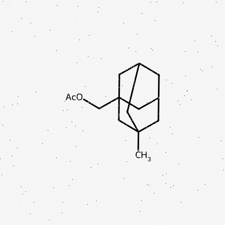 CC(=O)OCC12CC3CC(CC(C)(C3)C1)C2